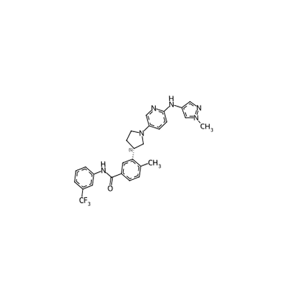 Cc1ccc(C(=O)Nc2cccc(C(F)(F)F)c2)cc1[C@@H]1CCN(c2ccc(Nc3cnn(C)c3)nc2)C1